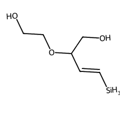 OCCOC(C=C[SiH3])CO